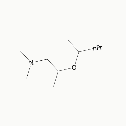 CCCC(C)OC(C)CN(C)C